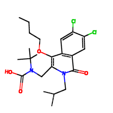 CCCCOc1c(CN(C(=O)O)C(C)(C)C)n(CC(C)C)c(=O)c2cc(Cl)c(Cl)cc12